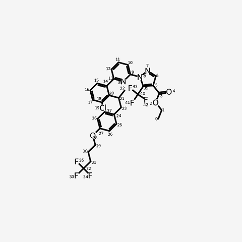 CCOC(=O)c1cnn(-c2cccc(-c3cccc(Cl)c3C(C)Cc3ccc(OCCCC(F)(F)F)cc3)n2)c1C(F)(F)F